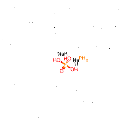 O=P(O)(O)O.P.[NaH].[NaH]